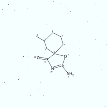 CC1CCCC2(C1)OC(N)=NC2=O